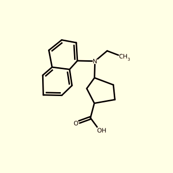 CCN(c1cccc2ccccc12)C1CCC(C(=O)O)C1